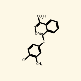 CO/N=C(/C(=O)O)c1ccccc1COc1ccc(Cl)c(C)c1